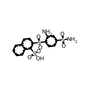 Nc1cc(S(N)(=O)=O)ccc1S(=O)(=O)c1ccc2ccccc2c1S(=O)(=O)O